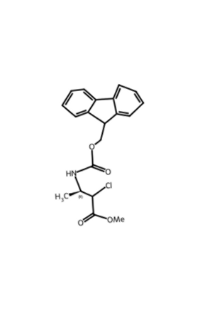 COC(=O)C(Cl)[C@@H](C)NC(=O)OCC1c2ccccc2-c2ccccc21